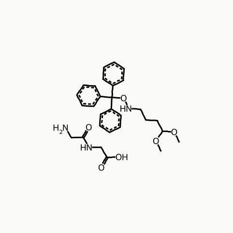 COC(CCCNOC(c1ccccc1)(c1ccccc1)c1ccccc1)OC.NCC(=O)NCC(=O)O